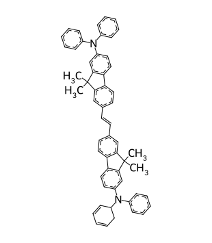 CC1(C)c2cc(/C=C/c3ccc4c(c3)C(C)(C)c3cc(N(c5ccccc5)C5C=CC=CC5)ccc3-4)ccc2-c2ccc(N(c3ccccc3)c3ccccc3)cc21